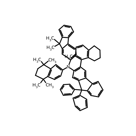 Cc1ccc2c(c1-c1cc3c(cc1N(c1ccc4c(c1)C(C)(C)CCC4(C)C)c1ccc4c(c1)C(C)(C)c1ccccc1-4)C(c1ccccc1)(c1ccccc1)c1ccccc1-3)CCCC2